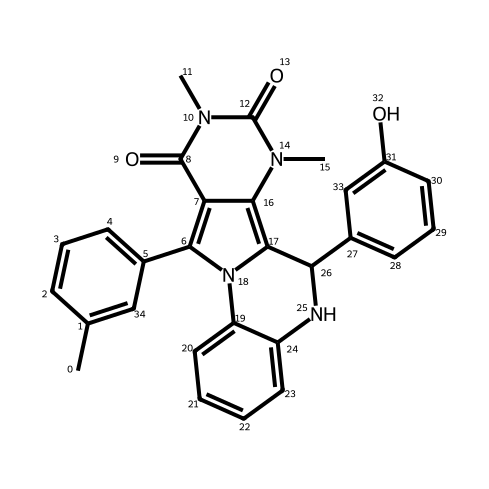 Cc1cccc(-c2c3c(=O)n(C)c(=O)n(C)c3c3n2-c2ccccc2NC3c2cccc(O)c2)c1